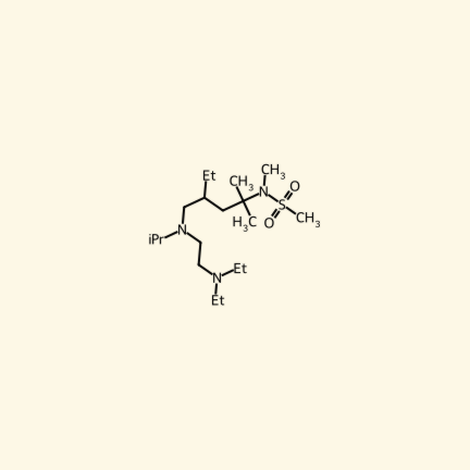 CCC(CN(CCN(CC)CC)C(C)C)CC(C)(C)N(C)S(C)(=O)=O